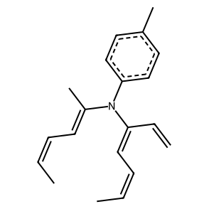 C=C/C(=C\C=C/C)N(/C(C)=C/C=C\C)c1ccc(C)cc1